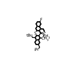 Cc1c2c(c(CC(C)(C)C)c3ccc(CC(C)C)cc13)Sc1cc3ccc(F)cc3c3cc[n+](C)c-2c13